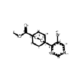 COC(=O)C12CCC(c3ncncc3Br)(CC1)CC2